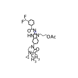 CC(=O)OCCCn1/c(=N/C(=O)c2cccc(C(F)F)c2)[nH]c2cc(N3CCN(C4CC4)C(C)(C)C3=O)ccc21